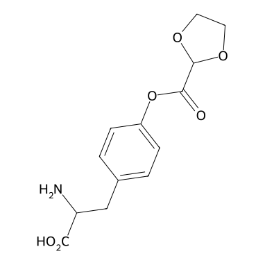 NC(Cc1ccc(OC(=O)C2OCCO2)cc1)C(=O)O